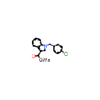 COC(=O)c1cn(Cc2ccc(Cl)cc2)c2ccccc12